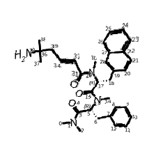 CN(C)C(=O)[C@@H](Cc1ccccc1)N(C)C(=O)[C@@H](Cc1ccc2ccccc2c1)N(C)C(=O)C=CCC(C)(C)N